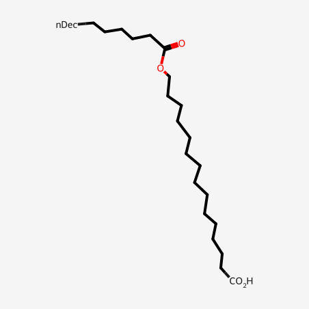 CCCCCCCCCCCCCCCC(=O)OCCCCCCCCCCCCCCC(=O)O